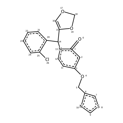 O=c1cc(OCc2cscn2)ccn1C(C1=COCO1)c1ccccc1Cl